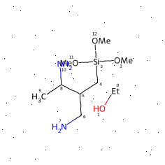 CCO.CO[Si](CC(CN)C(C)N)(OC)OC